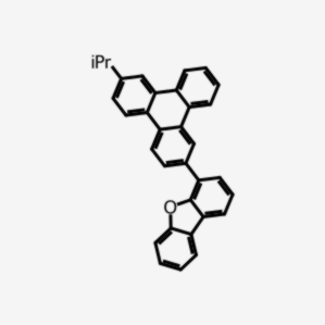 CC(C)c1ccc2c3ccc(-c4cccc5c4oc4ccccc45)cc3c3ccccc3c2c1